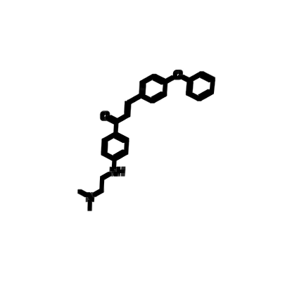 CN(C)CCNc1ccc(C(=O)C=Cc2ccc(Oc3ccccc3)cc2)cc1